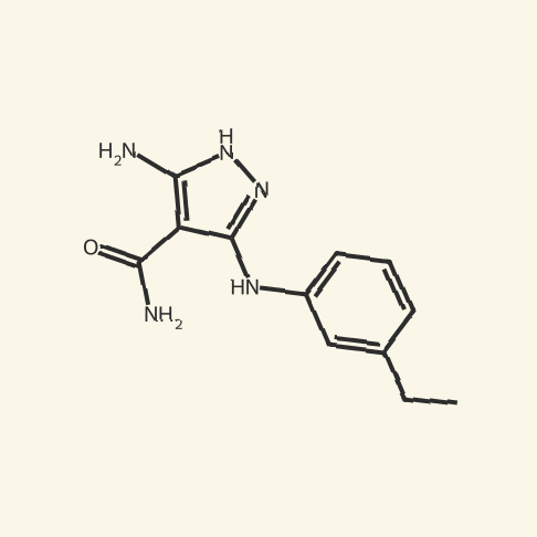 CCc1cccc(Nc2n[nH]c(N)c2C(N)=O)c1